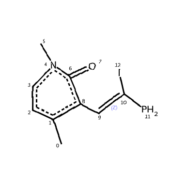 Cc1ccn(C)c(=O)c1/C=C(/P)I